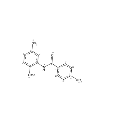 COc1ccc(N)cc1NC(=O)c1ccc(N)cc1